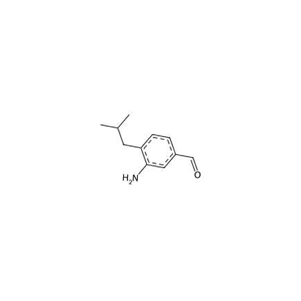 CC(C)Cc1ccc(C=O)cc1N